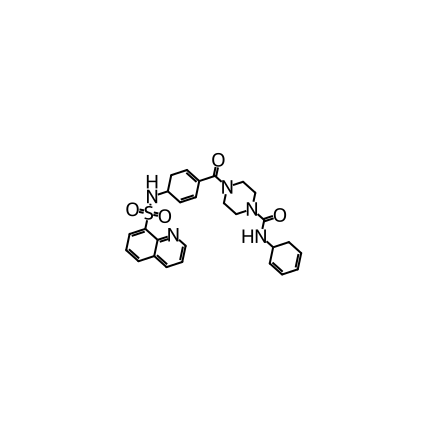 O=C(NC1C=CC=CC1)N1CCN(C(=O)C2=CCC(NS(=O)(=O)c3cccc4cccnc34)C=C2)CC1